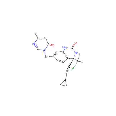 Cc1cc(=O)n(Cc2ccc3c(c2)NC(=O)N[C@]3(C#CC2CC2)C(C)(F)F)cn1